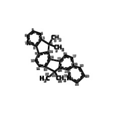 CC1(C)c2cccnc2-c2ccc3c(c21)-c1ccc2cccnc2c1C3(C)C